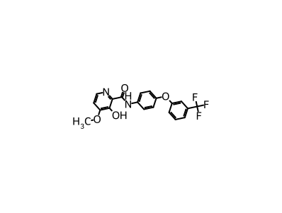 COc1ccnc(C(=O)Nc2ccc(Oc3cccc(C(F)(F)F)c3)cc2)c1O